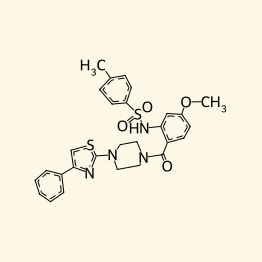 COc1ccc(C(=O)N2CCN(c3nc(-c4ccccc4)cs3)CC2)c(NS(=O)(=O)c2ccc(C)cc2)c1